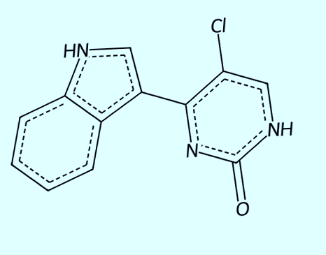 O=c1nc(-c2c[nH]c3ccccc23)c(Cl)c[nH]1